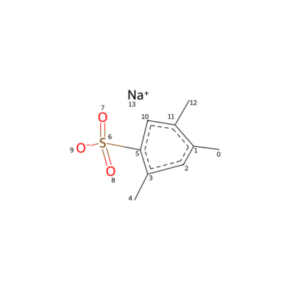 Cc1cc(C)c(S(=O)(=O)[O-])cc1C.[Na+]